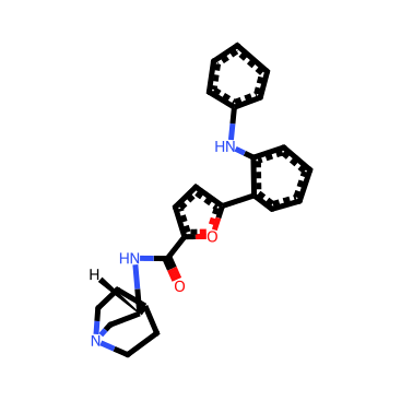 O=C(N[C@H]1CN2CCC1CC2)c1ccc(-c2ccccc2Nc2ccccc2)o1